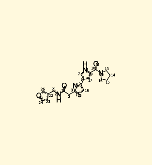 O=C(Cc1nc(-c2c[nH]c(C(=O)N3CCCC3)c2)cs1)NCc1ccoc1